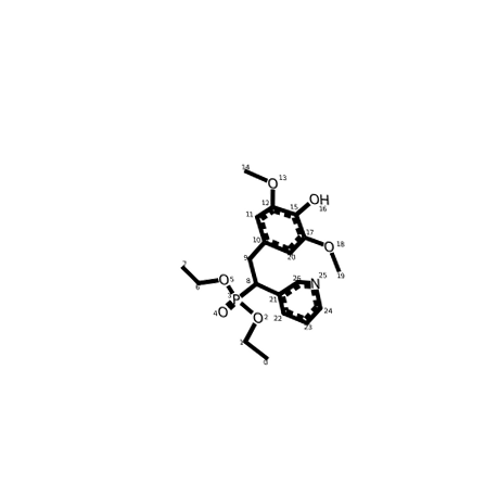 CCOP(=O)(OCC)C(Cc1cc(OC)c(O)c(OC)c1)c1cccnc1